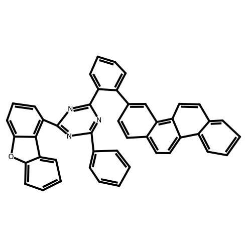 c1ccc(-c2nc(-c3ccccc3-c3ccc4ccc5c6ccccc6ccc5c4c3)nc(-c3cccc4oc5ccccc5c34)n2)cc1